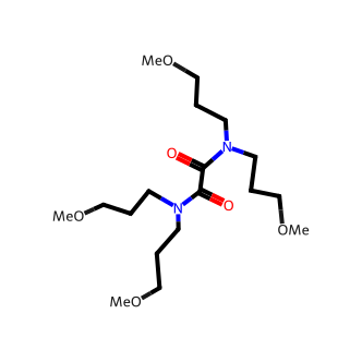 COCCCN(CCCOC)C(=O)C(=O)N(CCCOC)CCCOC